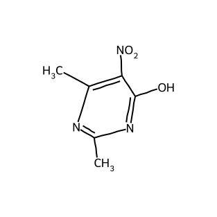 Cc1nc(C)c([N+](=O)[O-])c(O)n1